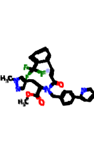 COC(=O)C(Cc1cnn(C)c1)N(Cc1ccc(-c2ccccn2)cc1)C(=O)/C=C/c1ccccc1C(F)(F)F